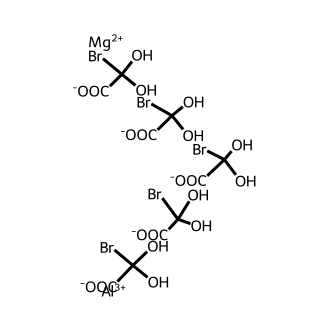 O=C([O-])C(O)(O)Br.O=C([O-])C(O)(O)Br.O=C([O-])C(O)(O)Br.O=C([O-])C(O)(O)Br.O=C([O-])C(O)(O)Br.[Al+3].[Mg+2]